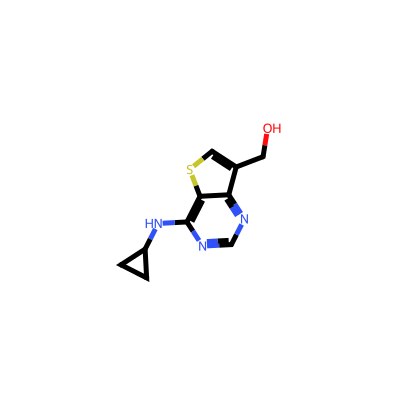 OCc1csc2c(NC3CC3)ncnc12